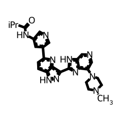 CC(C)C(=O)Nc1cncc(-c2ccc3[nH]nc(-c4nc5c(N6CCN(C)CC6)cncc5[nH]4)c3n2)c1